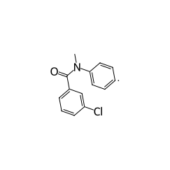 CN(C(=O)c1cccc(Cl)c1)c1cc[c]cc1